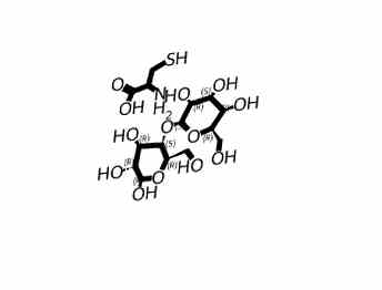 NC(CS)C(=O)O.OC[C@H]1O[C@@H](O[C@H]2[C@H](O)[C@@H](O)[C@H](O)O[C@@H]2CO)[C@H](O)[C@@H](O)[C@H]1O